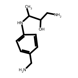 CC(Nc1ccc(CN)cc1)C(O)CN